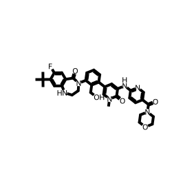 Cn1cc(-c2cccc(N3CCNc4cc(C(C)(C)C)c(F)cc4C3=O)c2CO)cc(Nc2ccc(C(=O)N3CCOCC3)cn2)c1=O